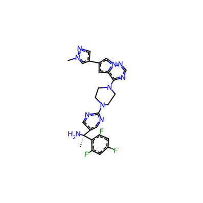 Cn1cc(-c2cc3c(N4CCN(c5ncc([C@](C)(N)c6c(F)cc(F)cc6F)cn5)CC4)ncnn3c2)cn1